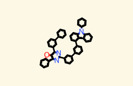 c1ccc(-c2cccc(-c3nc(-c4cccc(-c5cccc(-c6cccc7c6c6ccccc6n7-c6ccccc6)c5)c4)nc4c3oc3ccccc34)c2)cc1